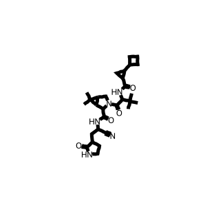 CC(C)(C)C(NC(=O)C1CC1C1CCC1)C(=O)N1CC2C(C1C(=O)NC(C#N)CC1CCNC1=O)C2(C)C